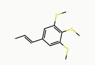 [CH2]C=Cc1cc(SC)c(SC)c(SC)c1